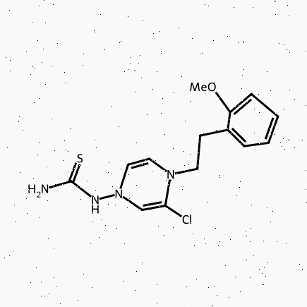 COc1ccccc1CCN1C=CN(NC(N)=S)C=C1Cl